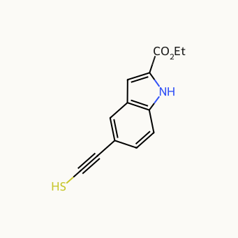 CCOC(=O)c1cc2cc(C#CS)ccc2[nH]1